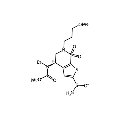 CCN(C(=O)OC)[C@H]1CN(CCCOC)S(=O)(=O)c2sc([S+](N)[O-])cc21